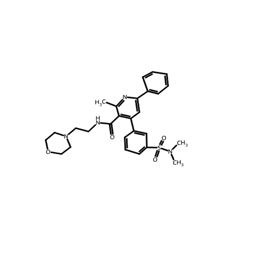 Cc1nc(-c2ccccc2)cc(-c2cccc(S(=O)(=O)N(C)C)c2)c1C(=O)NCCN1CCOCC1